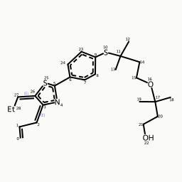 C=C/C=c1/nc(-c2ccc(SC(C)(C)CCOC(C)(C)CCO)cc2)s/c1=C/CC